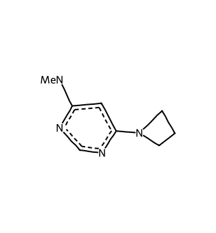 CNc1cc(N2CCC2)ncn1